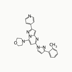 Cc1ccccc1-c1ccn(-c2cc(N3CCOCC3)n3nc(-c4ccncc4)cc3n2)n1